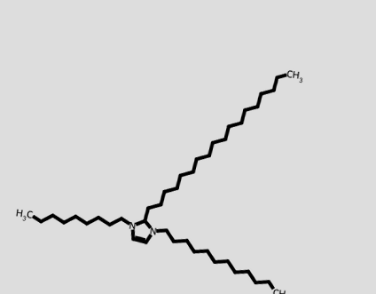 CCCCCCCCCCCCCCCCCCC1N(CCCCCCCCC)C=CN1CCCCCCCCCCCC